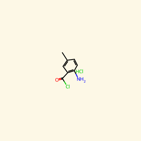 Cc1ccc(N)c(C(=O)Cl)c1.Cl